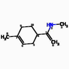 C=C(NC)C1CC=C(C)CC1